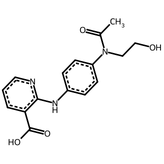 CC(=O)N(CCO)c1ccc(Nc2ncccc2C(=O)O)cc1